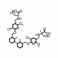 COc1nc(OCc2cccc(-c3cccc(COc4nc(OC)c(CN[C@@](C)(CO)C(=O)O)cc4Cl)c3C)c2C)c(Cl)cc1CN[C@@](C)(CO)C(=O)O